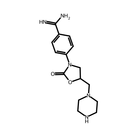 N=C(N)c1ccc(N2CC(CN3CCNCC3)OC2=O)cc1